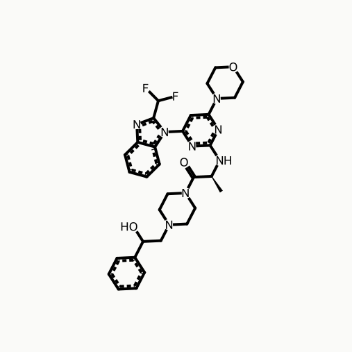 C[C@H](Nc1nc(N2CCOCC2)cc(-n2c(C(F)F)nc3ccccc32)n1)C(=O)N1CCN(CC(O)c2ccccc2)CC1